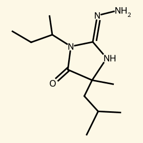 CCC(C)N1C(=O)C(C)(CC(C)C)NC1=NN